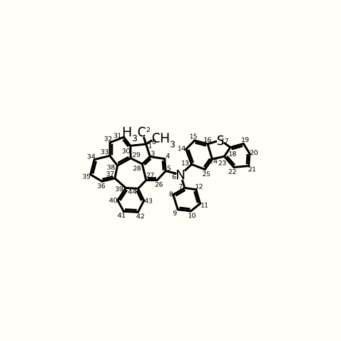 CC1(C)c2cc(N(c3ccccc3)c3ccc4sc5ccccc5c4c3)cc3c2-c2c1ccc1cccc(c21)-c1ccccc1-3